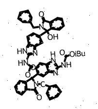 CC(C)COC(=O)Nc1nc2cc(C3(OC(=O)Nc4nc5cc(C6(O)c7ccccc7C(=O)N6Cc6ccccc6)ccc5[nH]4)c4ccccc4C(=O)N3Cc3ccccc3)ccc2[nH]1